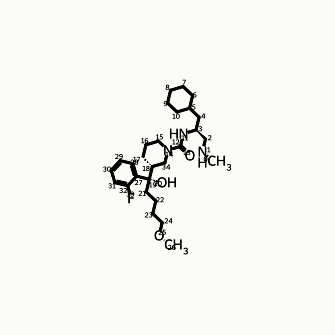 CNC[C@H](CC1CCCCC1)NC(=O)N1CCC[C@@H]([C@@](O)(CCCCOC)c2ccccc2F)C1